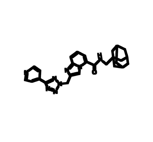 O=C(NCC12CC3CC(CC(C3)C1)C2)c1cccc2nc(Cn3nnc(-c4ccncc4)n3)cn12